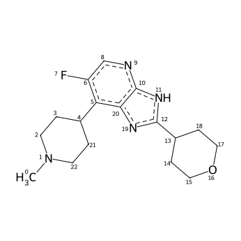 CN1CCC(c2c(F)cnc3[nH]c(C4CCOCC4)nc23)CC1